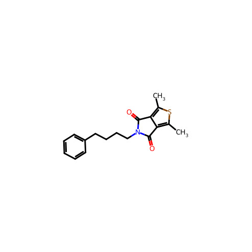 Cc1sc(C)c2c1C(=O)N(CCCCc1ccccc1)C2=O